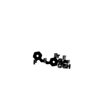 O=P(O)(Oc1ccc(CSCc2ccccc2F)cc1Br)C(F)F